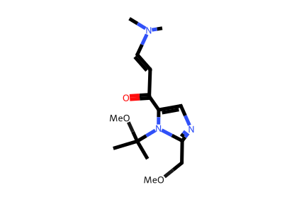 COCc1ncc(C(=O)/C=C/N(C)C)n1C(C)(C)OC